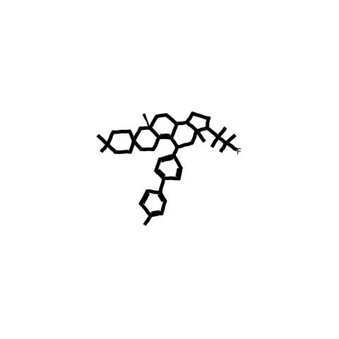 Cc1ccc(-c2ccc(C3CC4(C)C(CCC4C(C)(C)C(C)(C)F)C4CC[C@@]5(C)CC6(CCC5=C34)CCC(C)(C)CC6)cc2)cc1